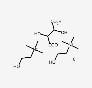 C[N+](C)(C)CCO.C[N+](C)(C)CCO.O=C([O-])C(O)C(O)C(=O)O.[Cl-]